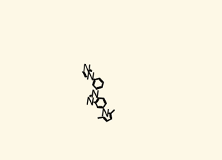 Cc1ccc(C)n1-c1ccc2c(c1)ncn2-c1cccc(-n2ccnc2)c1